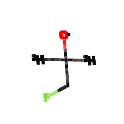 [2H]C([2H])([O])CF